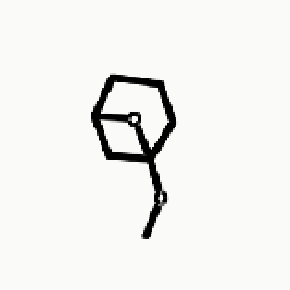 COC12CCCC(C1)O2